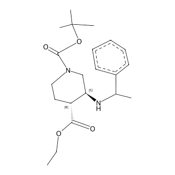 CCOC(=O)[C@@H]1CCN(C(=O)OC(C)(C)C)C[C@H]1NC(C)c1ccccc1